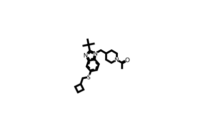 CC(=O)N1CCC(Cn2c(C(C)(C)C)nc3cc(SCC4CCC4)ccc32)CC1